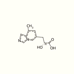 Cc1cc(C[C@@H](O)C(=O)O)cn2cncc12